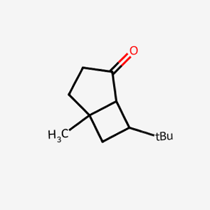 CC(C)(C)C1CC2(C)CCC(=O)C12